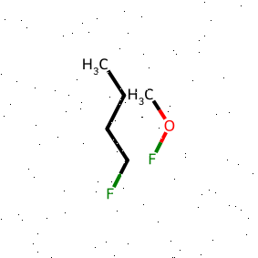 CCCCF.COF